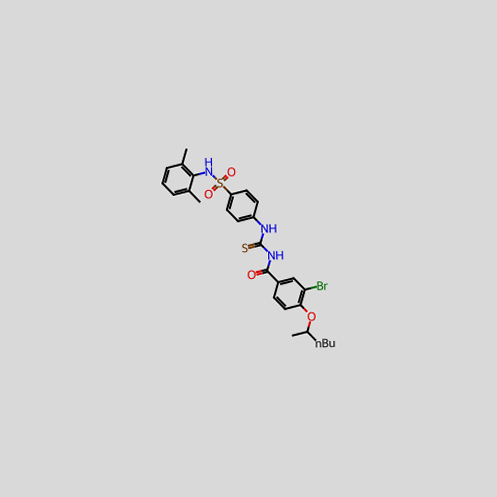 CCCCC(C)Oc1ccc(C(=O)NC(=S)Nc2ccc(S(=O)(=O)Nc3c(C)cccc3C)cc2)cc1Br